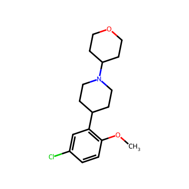 COc1ccc(Cl)cc1C1CCN(C2CCOCC2)CC1